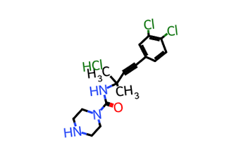 CC(C)(C#Cc1ccc(Cl)c(Cl)c1)NC(=O)N1CCNCC1.Cl